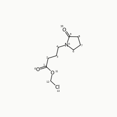 O=C(CCCN1CCCC1=O)OCCl